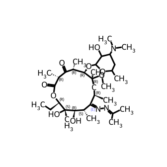 CC[C@H]1OC(=O)[C@H](C)C(=O)[C@H](C)[C@@H](OC2OC(C)CC(N(C)C)C2O)[C@](C)(OC)C[C@@H](C)/C(=N\N=C(C)C)[C@H](C)[C@@H](O)[C@]1(C)O